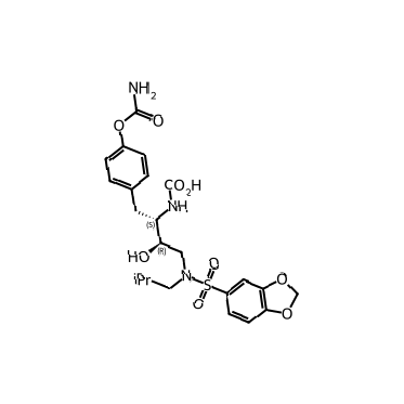 CC(C)CN(C[C@@H](O)[C@H](Cc1ccc(OC(N)=O)cc1)NC(=O)O)S(=O)(=O)c1ccc2c(c1)OCO2